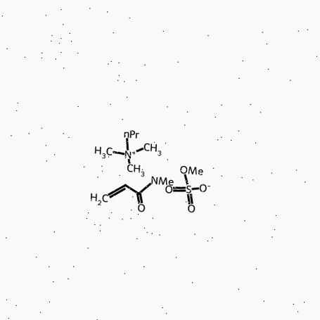 C=CC(=O)NC.CCC[N+](C)(C)C.COS(=O)(=O)[O-]